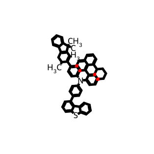 CC1CC2=C(C=C1c1ccc(N(c3ccc(-c4cccc5sc6ccccc6c45)cc3)c3ccccc3-c3cccc4cccc(C5CCCCC5)c34)cc1)C(C)(C)c1ccccc12